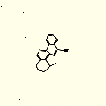 CC1CCCCc2cnc3c(cc(C#N)c4ccccc43)c21